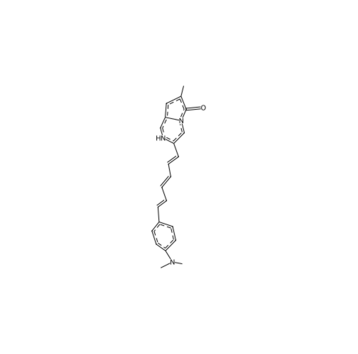 Cc1cc2c[nH]c(/C=C/C=C/C=C/c3ccc(N(C)C)cc3)cn-2c1=O